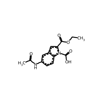 CCOC(=O)c1cc2cc(NC(C)=O)ccc2n1C(=O)O